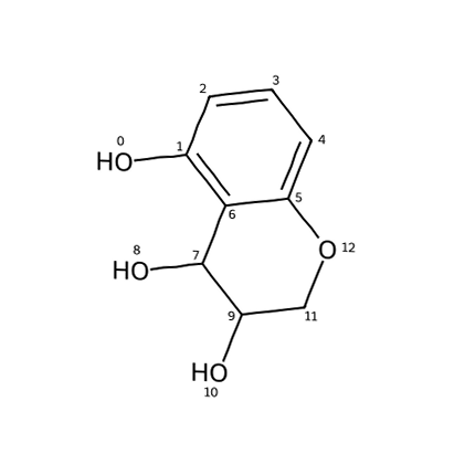 Oc1cccc2c1C(O)C(O)CO2